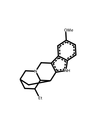 CCC1CC2CC3c4[nH]c5ccc(OC)cc5c4CN(C2)C13